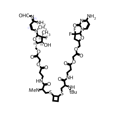 CNC(CSC1CCC1SCC(NC(C)(C)C)C(=O)NCCC(=O)OCC(=O)OCC1CC(F)(F)C(n2ccc(N)nc2=O)O1)C(=O)NCCC(=O)OCC(=O)OC[C@@H]1OC(N(C)/C=C\C(N)=N/C=O)[C@@](C)(F)[C@H]1O